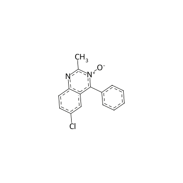 Cc1nc2ccc(Cl)cc2c(-c2ccccc2)[n+]1[O-]